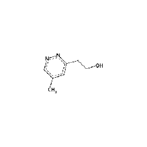 Cc1cnnc(CCO)c1